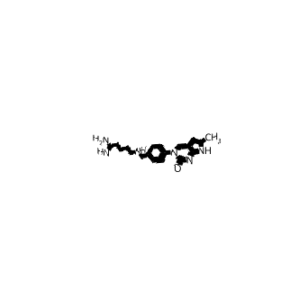 Cc1cc2cn(-c3ccc(CNCCCCC(=N)N)cc3)c(=O)nc2[nH]1